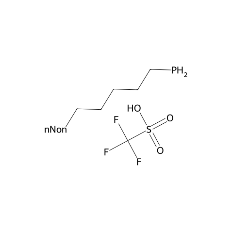 CCCCCCCCCCCCCCP.O=S(=O)(O)C(F)(F)F